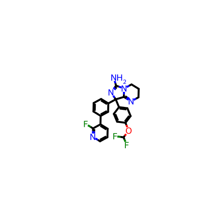 NC1=NC(c2ccc(OC(F)F)cc2)(c2cccc(-c3cccnc3F)c2)C2=NCCCN12